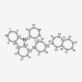 c1ccc(-n2c3ccccc3c3cccc(-c4ccc(-c5ccc6ccccc6c5)cc4)c32)cc1